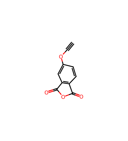 C#COc1ccc2c(c1)C(=O)OC2=O